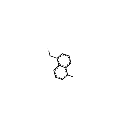 CCc1cccc2c(Cl)cccc12